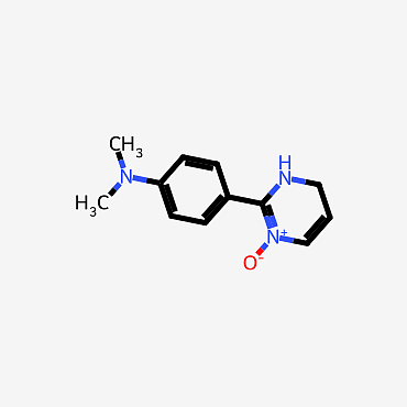 CN(C)c1ccc(C2=[N+]([O-])C=CCN2)cc1